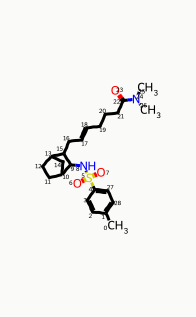 Cc1ccc(S(=O)(=O)NC2C3CCC(C3)C2CC=CCCCC(=O)N(C)C)cc1